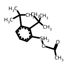 CC(=O)O[SiH2]c1cccc(C(C)(C)C)c1C(C)(C)C